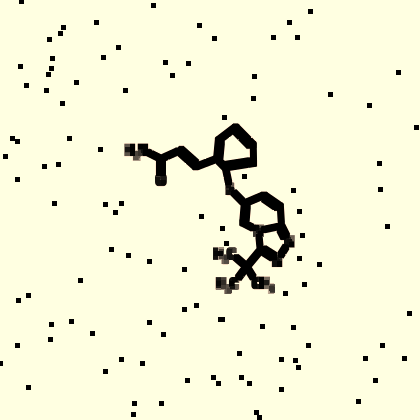 CC(C)(C)c1nnc2ccc(Sc3ccccc3C=CC(N)=O)cn12